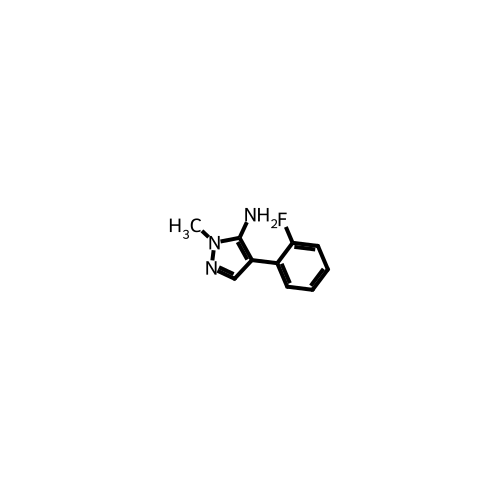 Cn1ncc(-c2ccccc2F)c1N